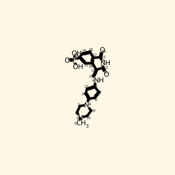 CN1CCN(c2ccc(N/C=C3\C(=O)NC(=O)c4ccc(P(=O)(O)O)cc43)cc2)CC1